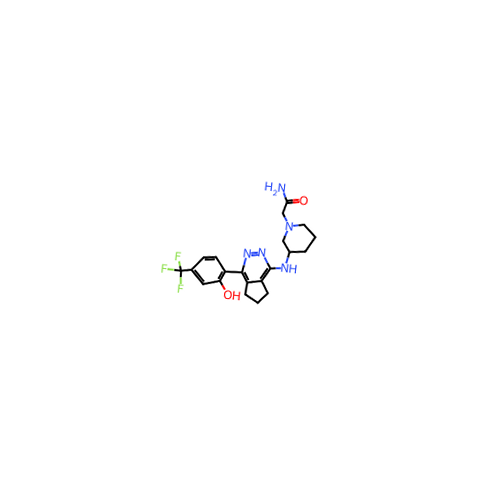 NC(=O)CN1CCCC(Nc2nnc(-c3ccc(C(F)(F)F)cc3O)c3c2CCC3)C1